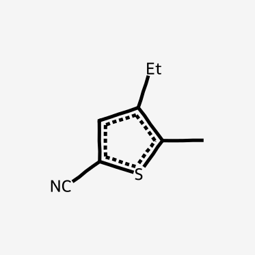 CCc1cc(C#N)sc1C